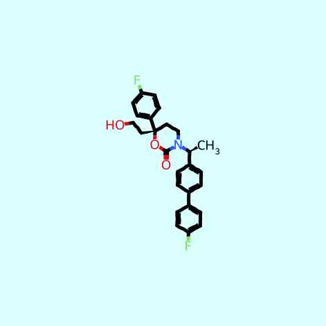 C[C@@H](c1ccc(-c2ccc(F)cc2)cc1)N1CC[C@@](CCO)(c2ccc(F)cc2)OC1=O